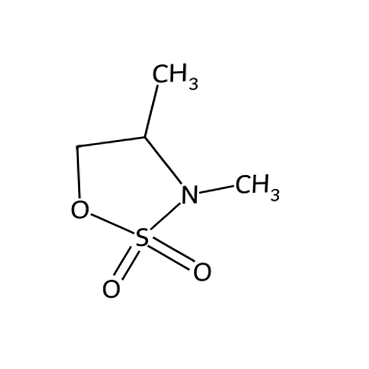 CC1COS(=O)(=O)N1C